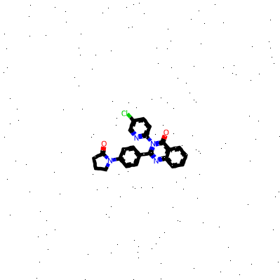 O=C1CCCN1c1ccc(-c2nc3ccccc3c(=O)n2-c2ccc(Cl)cn2)cc1